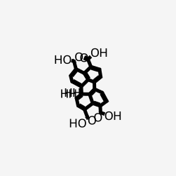 O=C(O)c1ccc2c3ccc(C(=O)O)c4c(C(=O)O)ccc(c5ccc(C(=O)O)c1c25)c43.[HH].[HH]